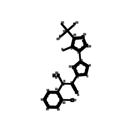 Cc1c(-c2ccc(C(=O)N(N)c3ccccc3Cl)s2)noc1C(C)(F)F